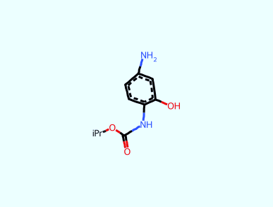 CC(C)OC(=O)Nc1ccc(N)cc1O